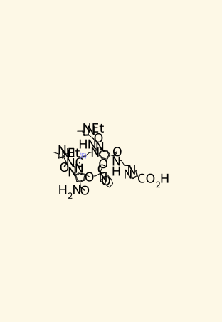 CCn1nc(C)cc1C(=O)Nc1nc2cc(C(N)=O)cc3c2n1C/C=C/Cn1c(NC(=O)c2cc(C)nn2CC)nc2cc(C(=O)NCCCn4cc(C(=O)O)cn4)cc(c21)OCC(N1CC2CCC(C1)O2)CO3